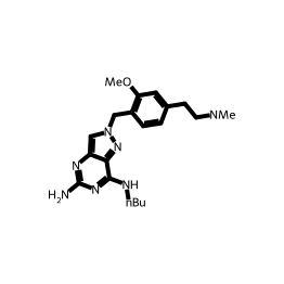 CCCCNc1nc(N)nc2cn(Cc3ccc(CCNC)cc3OC)nc12